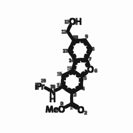 COC(=O)c1cc2oc3ccc(CO)cc3c2cc1NC(C)C